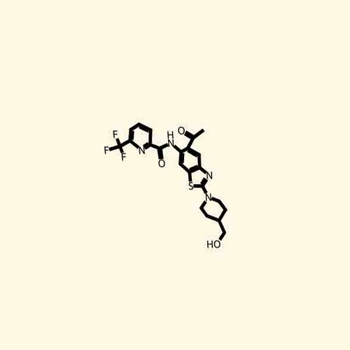 CC(=O)c1cc2nc(N3CCC(CO)CC3)sc2cc1NC(=O)c1cccc(C(F)(F)F)n1